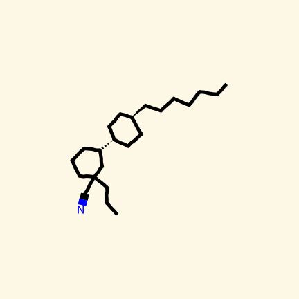 CCCCCCC[C@H]1CC[C@H](C2CCCC(C#N)(CCC)C2)CC1